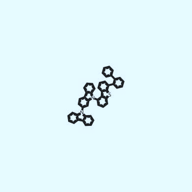 c1ccc(-c2ccccc2-c2cccc3c2sc2cccc(-n4c5ccccc5c5ccc(-n6c7ccccc7c7ccccc76)cc54)c23)cc1